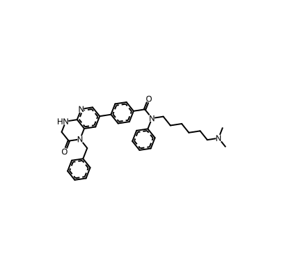 CN(C)CCCCCCN(C(=O)c1ccc(-c2cnc3c(c2)N(Cc2ccccc2)C(=O)CN3)cc1)c1ccccc1